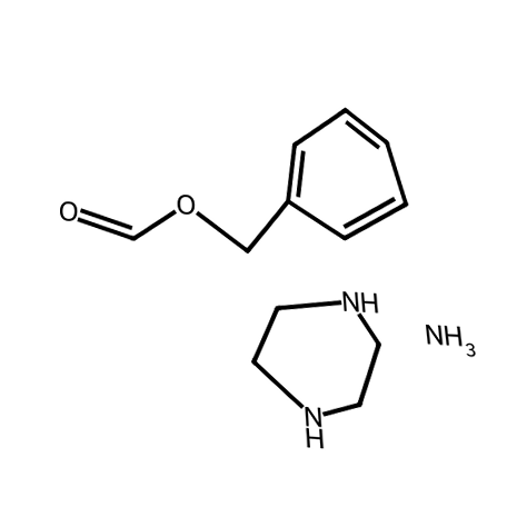 C1CNCCN1.N.O=COCc1ccccc1